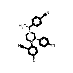 C[C@H](c1ccc(C#N)cc1)N1CCN(c2ccc(Cl)cc2C#N)[C@H](c2ccc(Cl)cc2)C1